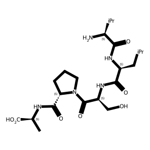 CC(C)C[C@H](NC(=O)[C@@H](N)C(C)C)C(=O)N[C@@H](CO)C(=O)N1CCC[C@H]1C(=O)N[C@@H](C)C(=O)O